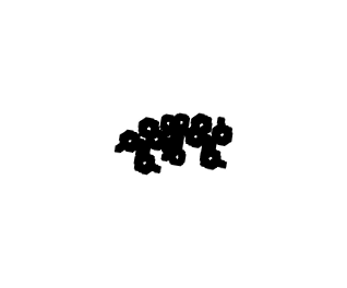 CC(=O)ON=C(C(=O)c1ccc(N(c2cccc(C)c2)c2cccc(C)c2)c2ccccc12)C(=O)c1ccc(N(c2cccc(C)c2)c2cccc(C)c2)c2ccccc12